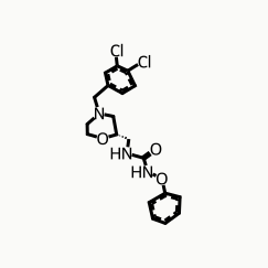 O=C(NC[C@H]1CN(Cc2ccc(Cl)c(Cl)c2)CCO1)NOc1ccccc1